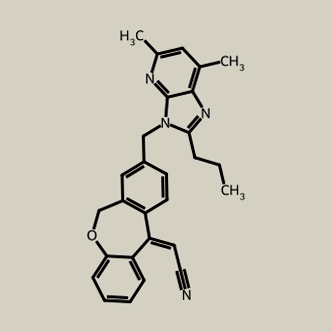 CCCc1nc2c(C)cc(C)nc2n1Cc1ccc2c(c1)COc1ccccc1C2=CC#N